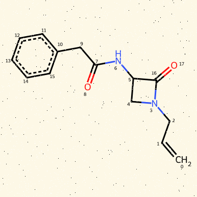 C=CCN1CC(NC(=O)Cc2ccccc2)C1=O